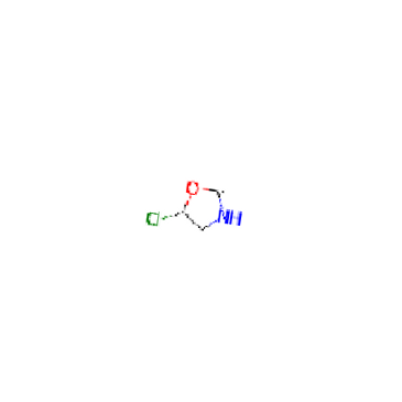 ClC1CN[CH]O1